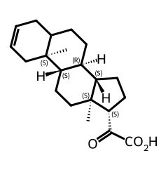 C[C@]12CC[C@H]3[C@@H](CCC4CC=CC[C@@]43C)[C@@H]1CC[C@@H]2C(=O)C(=O)O